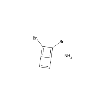 Brc1c2ccc-2c1Br.N